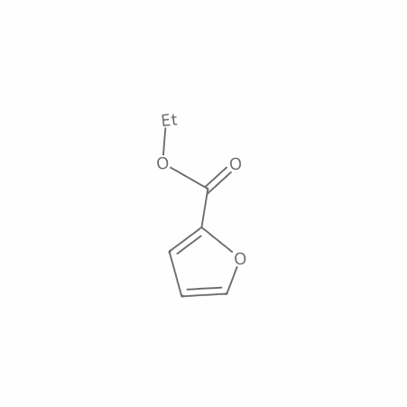 [CH2]COC(=O)c1ccco1